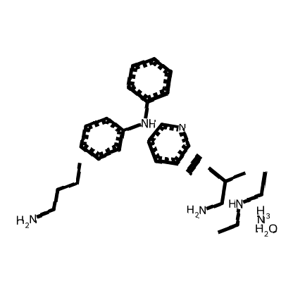 C=C.CC(C)CN.CCCCN.CCNCC.N.O.c1ccc(Nc2ccccc2)cc1.c1ccncc1